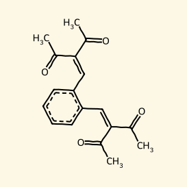 CC(=O)C(=Cc1ccccc1C=C(C(C)=O)C(C)=O)C(C)=O